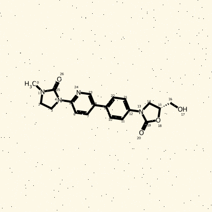 CN1CCN(c2ccc(-c3ccc(N4C[C@H](CO)OC4=O)cc3)cn2)C1=O